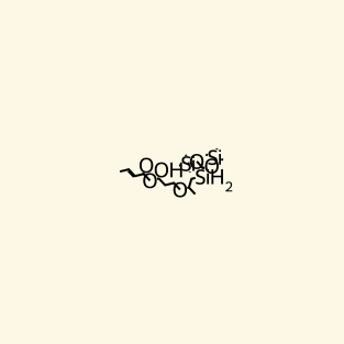 CC=CC(=O)OC(O)CCOC(C)C[SiH2]C(O[Si](C)(C)C)O[Si](C)(C)C